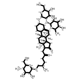 CC1O[C@@H](O[C@H]2C(O)[C@H](O)C(CO)O[C@H]2O[C@H]2CC[C@@]3(C)C(=CC[C@@H]4[C@@H]3CC[C@]3(C)C(CC(=O)CC[C@@H](C)CO[C@@H]5OC(CO)[C@@H](C)C(O)[C@@H]5O)C(=O)C[C@@H]43)C2)[C@@H](O)C(O)[C@H]1O